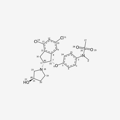 CN(c1ccc(O[C@H]2c3cc(Cl)cc(Cl)c3C[C@H]2N2CC[C@@H](O)C2)cc1)S(C)(=O)=O